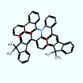 CC1(C)c2ccccc2-c2cc(-c3ccccc3N(c3ccccc3-c3cccc4c3-c3ccccc3C4(C)C)c3cc4ccccc4c4ccccc34)ccc21